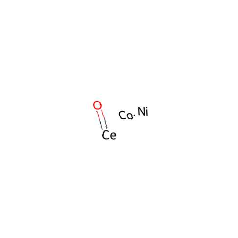 [Co].[Ni].[O]=[Ce]